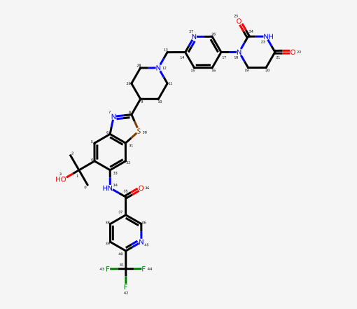 CC(C)(O)c1cc2nc(C3CCN(Cc4ccc(N5CCC(=O)NC5=O)cn4)CC3)sc2cc1NC(=O)c1ccc(C(F)(F)F)nc1